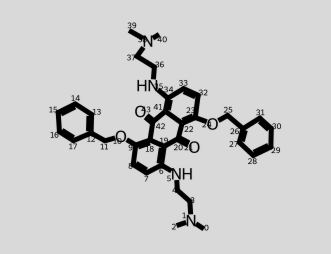 CN(C)CCNc1ccc(OCc2ccccc2)c2c1C(=O)c1c(OCc3ccccc3)ccc(NCCN(C)C)c1C2=O